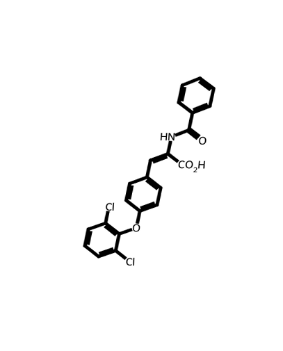 O=C(O)/C(=C\c1ccc(Oc2c(Cl)cccc2Cl)cc1)NC(=O)c1ccccc1